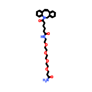 NC(=O)CCOCCOCCOCCOCCNC(=O)CCCCC(=O)N1Cc2ccccc2C#Cc2ccccc21